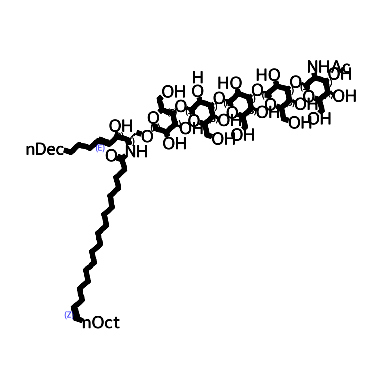 CCCCCCCC/C=C\CCCCCCCCCCCCCCCC(=O)N[C@@H](CO[C@@H]1OC(CO)[C@@H](O[C@@H]2OC(CO)[C@H](O)[C@H](O[C@H]3OC(CO)[C@H](O)[C@H](O[C@H]4OC(CO)[C@H](O)[C@H](O[C@@H]5OC(CO)[C@H](O)[C@H](O)C5NC(C)=O)C4O)C3O)C2O)[C@H](O)C1O)[C@H](O)/C=C/CCCCCCCCCCCCC